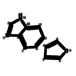 c1ccoc1.c1cnc2nc[nH]c2c1